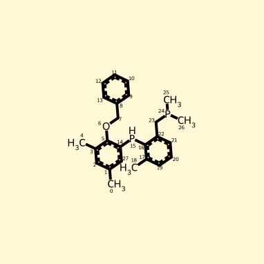 Cc1cc(C)c(OCc2ccccc2)c(Pc2c(C)cccc2CP(C)C)c1